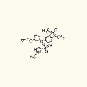 Cn1cc(S(=O)(=O)Nc2cc3c(cc2Oc2cccc(OCC4CC4)c2)n(C)c(=O)n3C)cn1